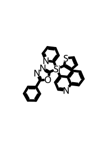 c1ccc(-c2nnc([Si](c3ccccn3)(c3cccs3)c3ccnc4ccccc34)o2)cc1